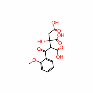 COc1ccccc1C(=O)C(C(=O)O)C(O)(CC(=O)O)C(=O)O